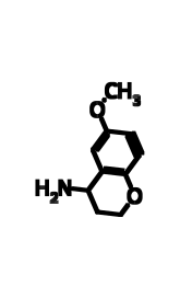 COc1c#cc2c(c1)C(N)CCO2